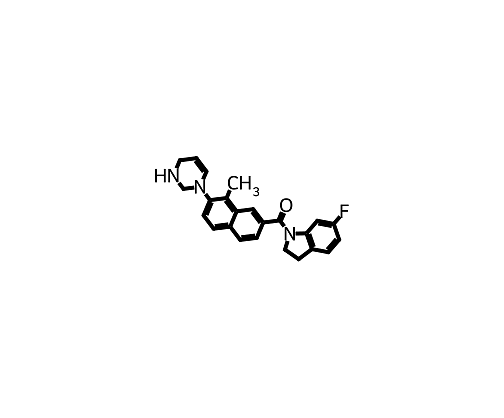 Cc1c(N2C=CCNC2)ccc2ccc(C(=O)N3CCc4ccc(F)cc43)cc12